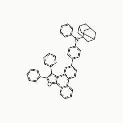 c1ccc(-c2oc3c4ccccc4c4ccc(-c5ccc(N(c6ccccc6)C67CC8CC(CC(C8)C6)C7)cc5)cc4c3c2-c2ccccc2)cc1